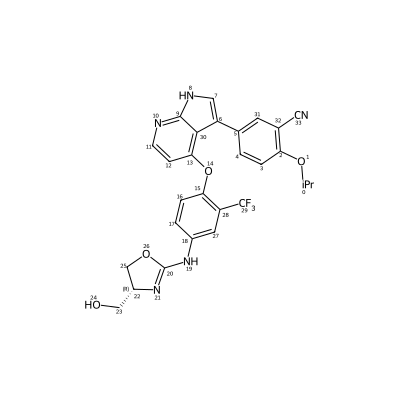 CC(C)Oc1ccc(-c2c[nH]c3nccc(Oc4ccc(NC5=N[C@H](CO)CO5)cc4C(F)(F)F)c23)cc1C#N